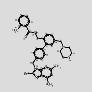 CCc1nc2c(C)cc(C)nc2n1Cc1ccc(-c2cc(CN3CCOCC3)ccc2CNC(=O)c2ccccc2C)cc1